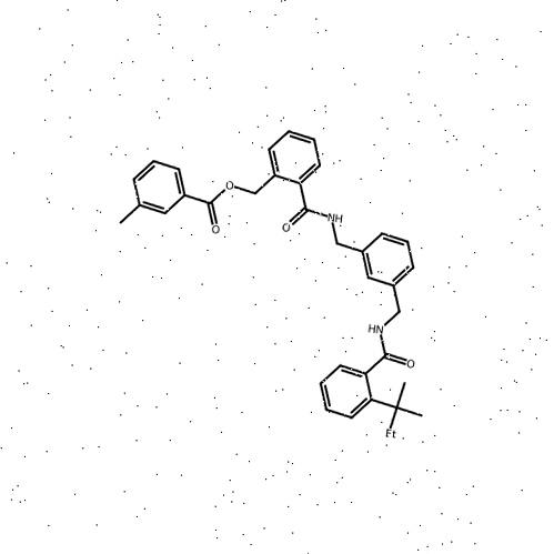 CCC(C)(C)c1ccccc1C(=O)NCc1cccc(CNC(=O)c2ccccc2COC(=O)c2cccc(C)c2)c1